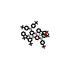 CC(C)(C)C1=CC=C(N(c2ccc(C(C)(C)C)cc2)c2ccc3c(c2)N(c2cccc4c2oc2cc(C(C)(C)C)ccc24)c2cc(N(c4ccc(C(C)(C)C)cc4)c4ccc(C(C)(C)C)cc4)cc4c2B3c2cc(C(C)(C)C)cc3c5c(n-4c23)-c2ccccc2C5(C)C)CC1